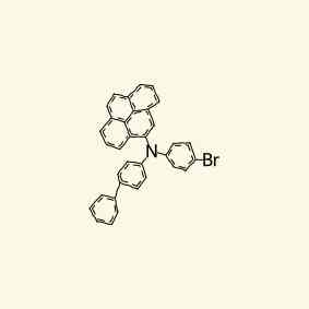 Brc1ccc(N(c2ccc(-c3ccccc3)cc2)c2cc3cccc4ccc5cccc2c5c43)cc1